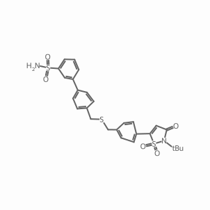 CC(C)(C)N1C(=O)C=C(c2ccc(CSCc3ccc(-c4cccc(S(N)(=O)=O)c4)cc3)cc2)S1(=O)=O